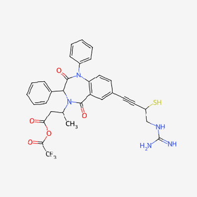 CC(CC(=O)OC(=O)C(F)(F)F)N1C(=O)c2cc(C#CC(S)CNC(=N)N)ccc2N(c2ccccc2)C(=O)C1c1ccccc1